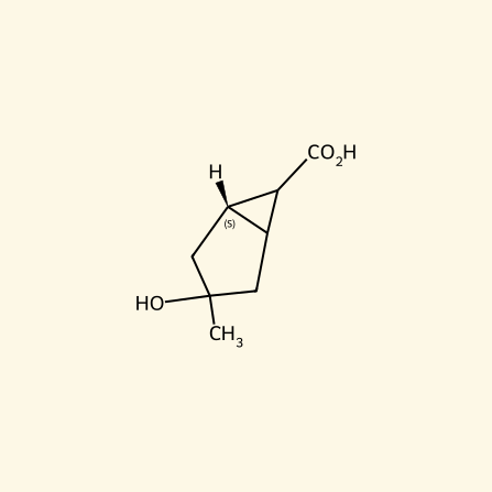 CC1(O)CC2C(C(=O)O)[C@H]2C1